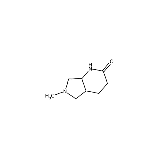 CN1CC2CCC(=O)NC2C1